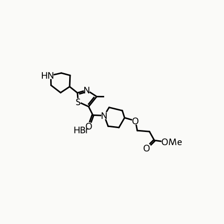 Br.COC(=O)CCOC1CCN(C(=O)c2sc(C3CCNCC3)nc2C)CC1